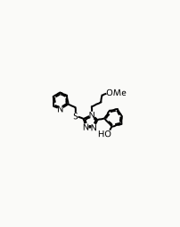 COCCCn1c(SCc2ccccn2)nnc1-c1ccccc1O